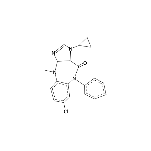 CN1c2ccc(Cl)cc2N(c2ccccc2)C(=O)C2C1N=CN2C1CC1